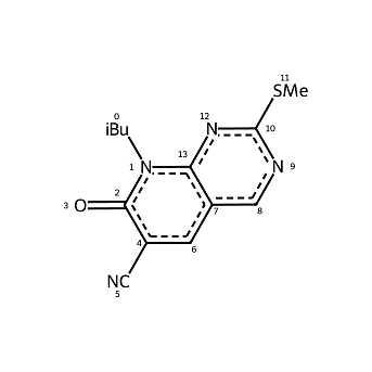 CCC(C)n1c(=O)c(C#N)cc2cnc(SC)nc21